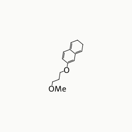 COCCCOc1ccc2c(c1)=CCCC=2